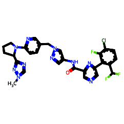 Cn1cnc(C2CCCN2c2ccc(Cn3cc(NC(=O)c4cncc(-c5c(C(F)F)ccc(Cl)c5F)n4)cn3)cn2)n1